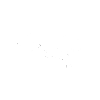 N=C1NC(c2ccccc2)(c2ccccc2)C(=O)N1CC1CCN(C(=O)Nc2cccc(Cl)c2)CC1